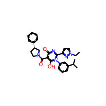 CCn1ccc(-c2nc(=O)c(C(=O)N3CC[C@H](c4ccccc4)C3)c(O)n2-c2cccc(C(C)C)c2)n1